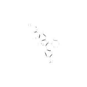 COC(=O)c1ccc2c(C3CCCCC3)c(-c3ccc(OC)cc3)[nH]c2c1Cl